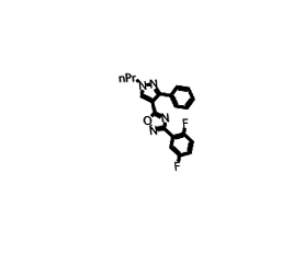 CCCn1cc(-c2nc(-c3cc(F)ccc3F)no2)c(-c2ccccc2)n1